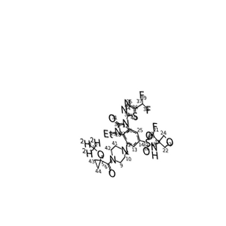 [2H]C([2H])([2H])OC1(C(=O)N2CCN(c3cc(S(=O)(=O)NC4(CF)COC4)cc4c3n(CC)c(=O)n4-c3nnc(C(F)F)s3)CC2)CC1